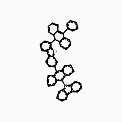 C1=CC2=C(c3ccccc3)c3ccccc3C(c3cccc4c3oc3cc(-c5c6ccccc6c(-n6c7ccccc7c7ccccc76)c6ccccc56)ccc34)C2C=C1